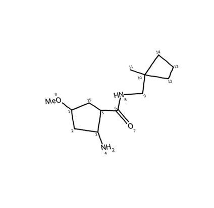 COC1CC(N)C(C(=O)NCC2(C)CCC2)C1